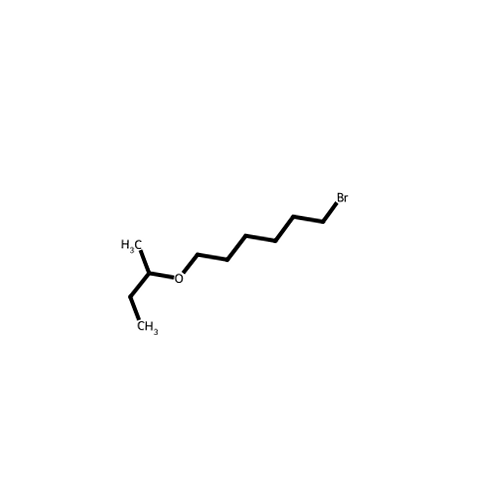 CCC(C)OCCCCCCBr